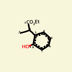 [CH2]C(C(=O)OCC)c1ccccc1O